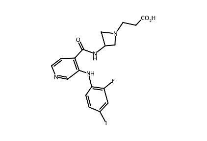 O=C(O)CCN1CC(NC(=O)c2ccncc2Nc2ccc(I)cc2F)C1